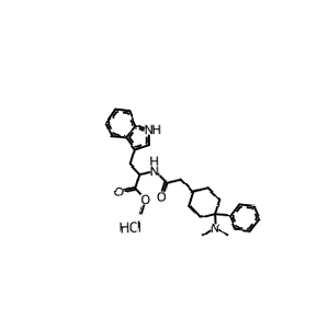 COC(=O)C(Cc1c[nH]c2ccccc12)NC(=O)CC1CCC(c2ccccc2)(N(C)C)CC1.Cl